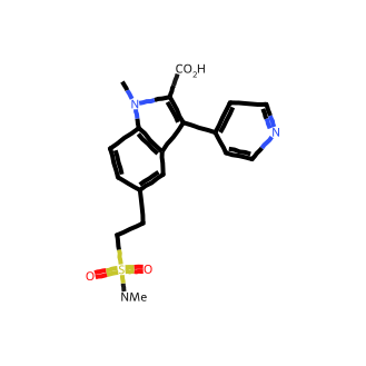 CNS(=O)(=O)CCc1ccc2c(c1)c(-c1ccncc1)c(C(=O)O)n2C